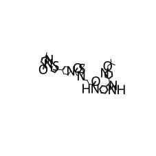 CSCN(CCCC(=O)Nc1ccc2[nH]nc(-c3ccc(OC(C)C)nc3)c2c1)CC(=O)N1CC=C(c2ccc(-n3nc(C)ccc3=O)s2)CC1